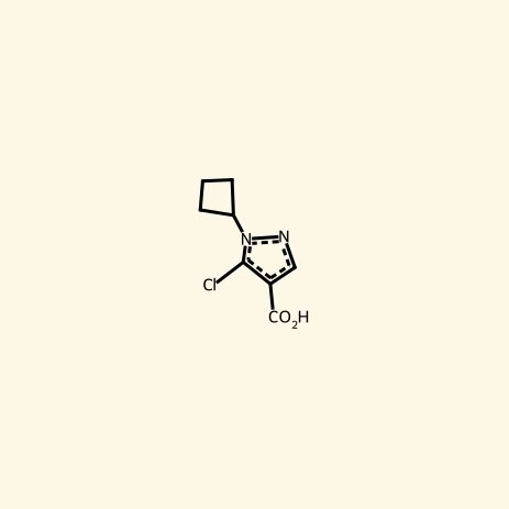 O=C(O)c1cnn(C2CCC2)c1Cl